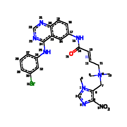 Cn1cnc([N+](=O)[O-])c1C[N+](C)(C)C/C=C/C(=O)Nc1ccc2ncnc(Nc3cccc(Br)c3)c2c1